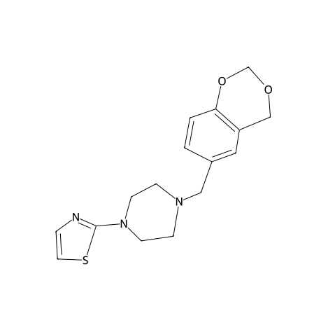 c1csc(N2CCN(Cc3ccc4c(c3)COCO4)CC2)n1